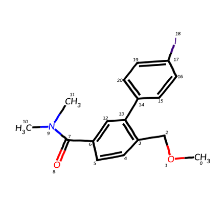 COCc1ccc(C(=O)N(C)C)cc1-c1ccc(I)cc1